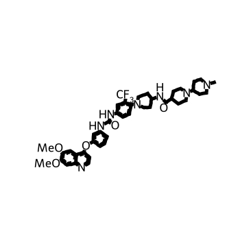 COc1cc2nccc(Oc3cccc(NC(=O)Nc4ccc(N5CCC(NC(=O)C6CCN(C7CCN(C)CC7)CC6)CC5)c(C(F)(F)F)c4)c3)c2cc1OC